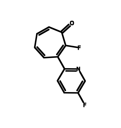 O=c1ccccc(-c2ccc(F)cn2)c1F